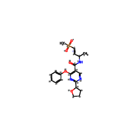 CC(/C=C/S(C)(=O)=O)NC(=O)c1cnc(C2CCCO2)nc1Oc1ccccc1